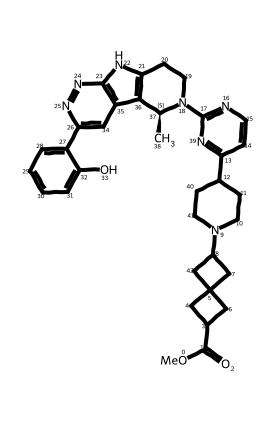 COC(=O)C1CC2(C1)CC(N1CCC(c3ccnc(N4CCc5[nH]c6nnc(-c7ccccc7O)cc6c5[C@@H]4C)n3)CC1)C2